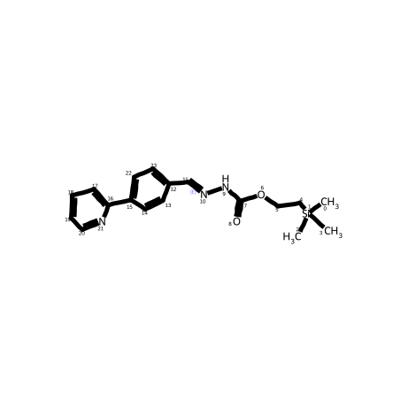 C[Si](C)(C)CCOC(=O)N/N=C/c1ccc(-c2ccccn2)cc1